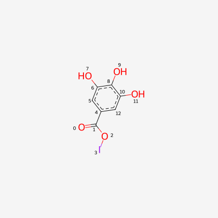 O=C(OI)c1cc(O)c(O)c(O)c1